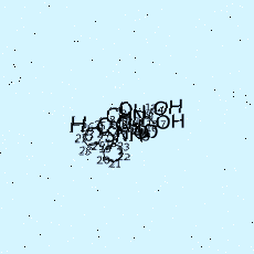 CC(C)(C)[Si](N[C@@H](CO)C(=O)N[C@@H](CO)C(=O)O)(c1ccccc1)c1ccccc1